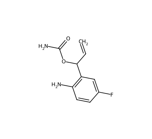 C=CC(OC(N)=O)c1cc(F)ccc1N